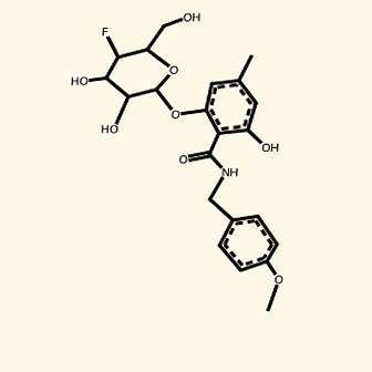 COc1ccc(CNC(=O)c2c(O)cc(C)cc2OC2OC(CO)C(F)C(O)C2O)cc1